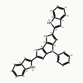 c1ccc(-n2c3cc(-c4cc5ccccc5[nH]4)sc3c3sc(-c4cc5ccccc5[nH]4)cc32)cc1